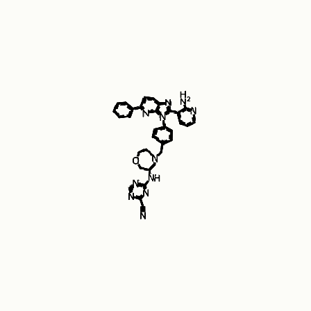 N#Cc1ncnc(NC2COCCN(Cc3ccc(-n4c(-c5cccnc5N)nc5ccc(-c6ccccc6)nc54)cc3)C2)n1